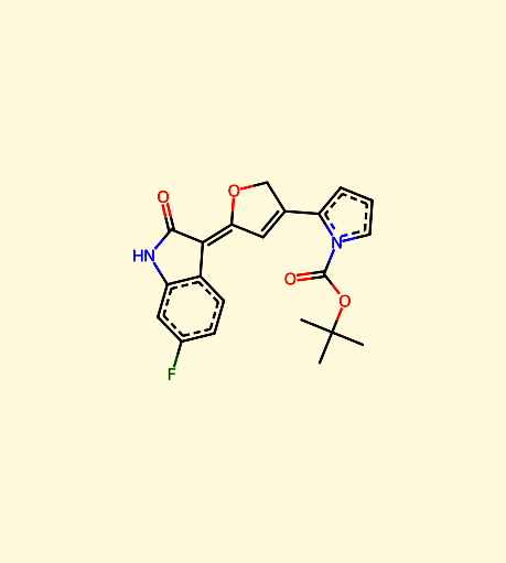 CC(C)(C)OC(=O)n1cccc1C1=CC(=C2C(=O)Nc3cc(F)ccc32)OC1